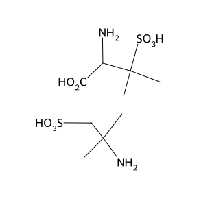 CC(C)(C(N)C(=O)O)S(=O)(=O)O.CC(C)(N)CS(=O)(=O)O